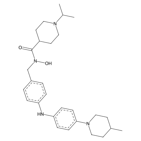 CC1CCN(c2ccc(Nc3ccc(CN(O)C(=O)C4CCN(C(C)C)CC4)cc3)cc2)CC1